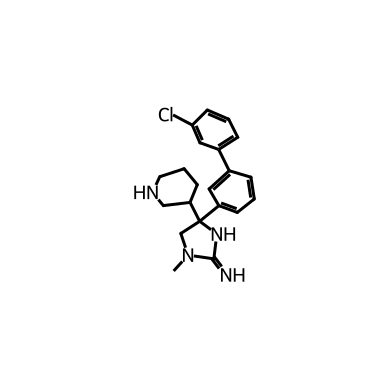 CN1CC(c2cccc(-c3cccc(Cl)c3)c2)(C2CCCNC2)NC1=N